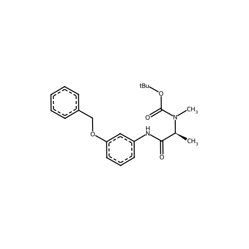 C[C@@H](C(=O)Nc1cccc(OCc2ccccc2)c1)N(C)C(=O)OC(C)(C)C